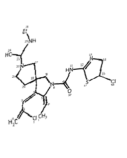 C=C(Cl)/C=C1\C(=C/C)N(C(=O)NC2=NCC(Cl)S2)CC12CCN(C(O)NCC)C2